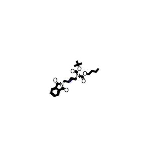 CCCCOC(=O)N(C/C=C/CN1C(=O)c2ccccc2C1=O)C(=O)OC(C)(C)C